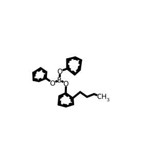 CCCCc1ccccc1OB(Oc1ccccc1)Oc1ccccc1